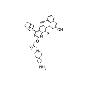 C#Cc1cccc2cc(O)cc(-c3ccc4c(N5CC6CCC(C5)N6)nc(OCC5(CN6CCC7(CC6)CC(N)C7)CC5)nc4c3F)c12